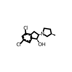 C[C@@H]1CCN([C@H]2Cc3c(Cl)cc(Cl)cc3[C@@H]2O)C1